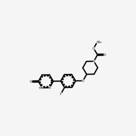 CC(C)(C)OC(=O)N1CCC(Oc2ccc(-c3ccc(=O)[nH]n3)c(F)c2)CC1